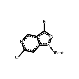 CCC[C@H](C)n1nc(Br)c2cnc(Cl)cc21